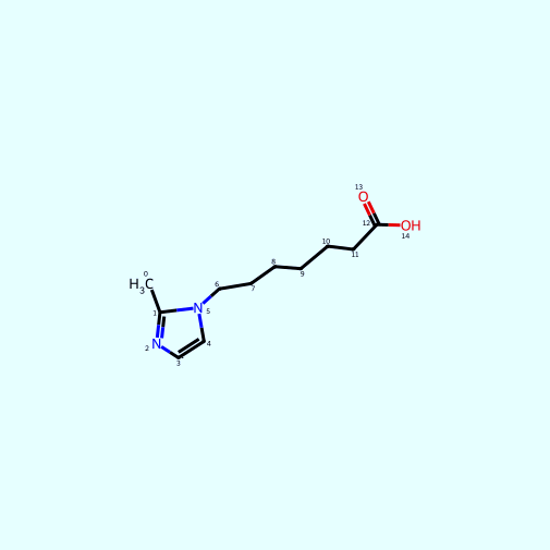 Cc1n[c]cn1CCCCCCC(=O)O